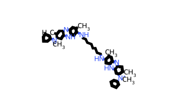 CC1=CC2=Nc3cc(C)c(NCCCCCCCCNc4cc5[nH]c6c/c(=[N+](/C)c7ccccc7)c(C)cc-6nc5cc4C)cc3NC2=CC1N(C)c1ccccc1